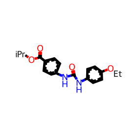 CCOc1ccc(NC(=O)Nc2ccc(C(=O)OC(C)C)cc2)cc1